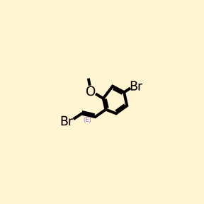 COc1cc(Br)ccc1/C=C/Br